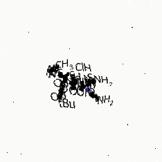 Cl.Cn1nnnc1SCC1=C(C(=O)OCOC(=O)C(C)(C)C)N2C(=O)C(NC(=O)/C(=N/OCCCN)c3nsc(N)n3)[C@H]2SC1